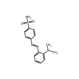 CN(C)c1ccccc1/N=N/c1ccc(S(N)(=O)=O)cc1